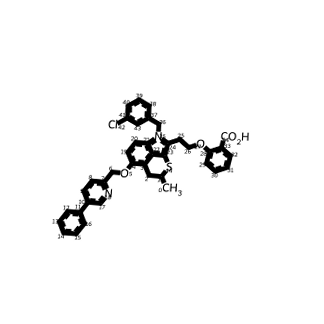 CC1Cc2c(OCc3ccc(-c4ccccc4)cn3)ccc3c2c(c(CCOc2ccccc2C(=O)O)n3Cc2cccc(Cl)c2)S1